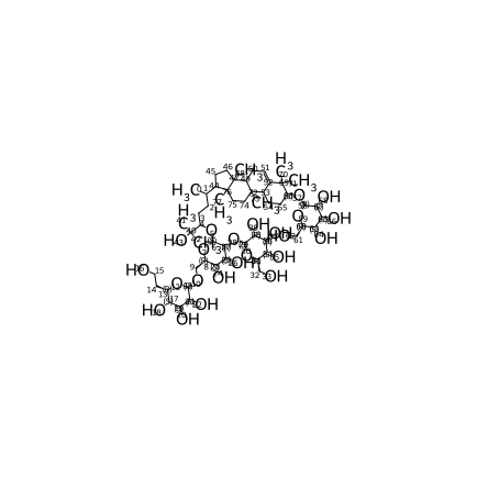 CC(CCC(O[C@@H]1O[C@H](CO[C@@H]2O[C@H](CCO)[C@@H](O)[C@H](O)[C@H]2O)[C@@H](O)[C@H](O)[C@H]1O[C@@H]1O[C@H](CO)[C@@H](O)[C@H](O)[C@H]1O)C(C)(C)O)C1CCC2(C)C3CC=C4C(CC[C@H](O[C@@H]5O[C@H](CO)[C@@H](O)[C@H](O)[C@H]5O)C4(C)C)C3(C)CCC12C